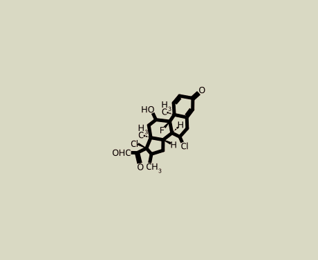 CC1C[C@H]2[C@@H]3C(Cl)CC4=CC(=O)C=C[C@]4(C)[C@@]3(F)C(O)C[C@]2(C)[C@@]1(Cl)C(=O)C=O